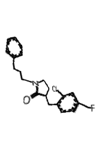 O=C1C(Cc2ccc(F)cc2Cl)CCN1CCCc1ccccc1